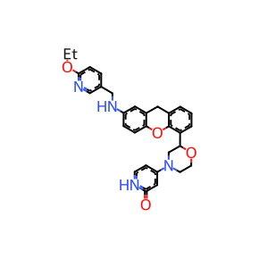 CCOc1ccc(CNc2ccc3c(c2)Cc2cccc(C4CN(c5cc[nH]c(=O)c5)CCO4)c2O3)cn1